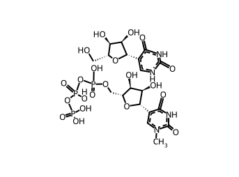 Cn1cc([C@@H]2O[C@H](COP(=O)(O)OP(=O)(O)OP(=O)(O)O)[C@@H](O)[C@H]2O)c(=O)[nH]c1=O.O=c1[nH]cc([C@@H]2O[C@H](CO)[C@@H](O)[C@H]2O)c(=O)[nH]1